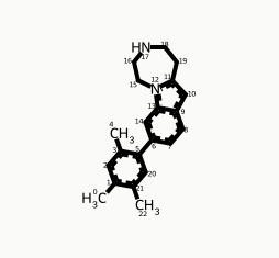 Cc1cc(C)c(-c2ccc3cc4n(c3c2)CCNCC4)cc1C